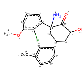 NC1(c2cccc(OC(F)(F)F)c2F)CCCC(O)C1=O.O=C(O)c1ccccc1